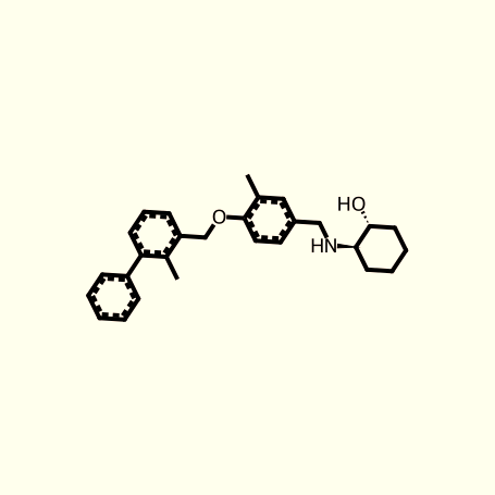 Cc1cc(CN[C@@H]2CCCC[C@H]2O)ccc1OCc1cccc(-c2ccccc2)c1C